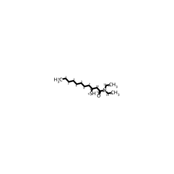 CCCCCCCCC(S)CC(=O)N(CC)CC